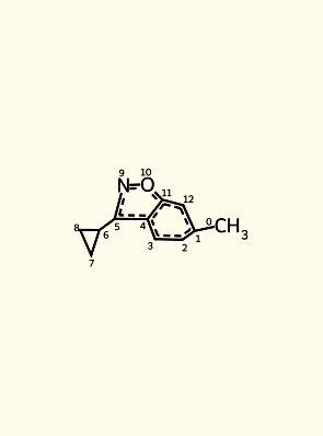 Cc1ccc2c(C3CC3)noc2c1